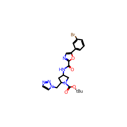 CC(C)(C)OC(=O)N1CC(NC(=O)c2ncc(-c3cccc(Br)c3)o2)CC1Cn1ccnn1